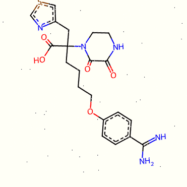 N=C(N)c1ccc(OCCCCC(Cc2cscn2)(C(=O)O)N2CCNC(=O)C2=O)cc1